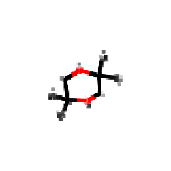 CCC1(CC)COC(CC)(CC)CO1